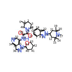 C[C@H]1CC[C@H](c2ccc3nn(C4CC(C)(C)N(C)C(C)(C)C4)cc3c2)N(C(=O)C(=O)Nc2cncc3cnn(C4CCCCO4)c23)C1